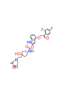 C[C@H]1CN(CCC2(O)CCC(NC(=O)Oc3cc4c(OCc5coc6cc(F)cc(F)c56)cccc4[nH]3)CC2)CC[C@@H]1O